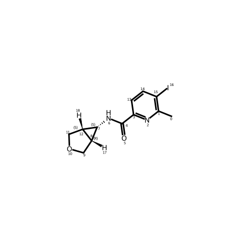 Cc1nc(C(=O)N[C@@H]2[C@@H]3COC[C@@H]32)ccc1I